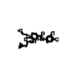 COCCOc1ccc(C(=O)Nc2ccc(Cl)c(Cl)c2)cc1NC(=O)CC1CC1